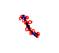 O=C(/C=C/C(=O)OCC(=O)C(=O)N1CCOC(=O)C1)OCC(=O)C(=O)N1CCOC(=O)C1